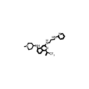 C=C(c1nc(NCCCNc2ccccn2)cc2c(NC3CCN(C)CC3)cccc12)C(F)(F)F